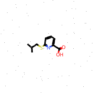 CC(C)CSc1cccc(C(=O)O)n1